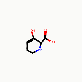 O=C(O)C1NCCC=C1O